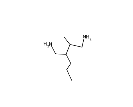 CCCC(CN)C(C)CN